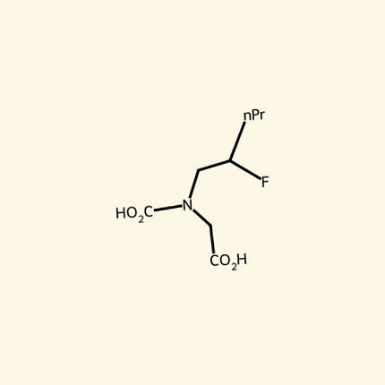 CCCC(F)CN(CC(=O)O)C(=O)O